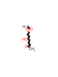 CC(=O)CCCC(O)CCCOC(C)=O